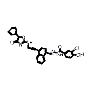 O=C(N/N=C/c1ccc(C#CCNC2=NC(=O)C(c3ccccc3)O2)c2ccccc12)c1ccc(O)c(Cl)c1